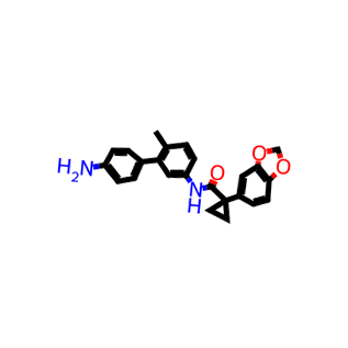 Cc1ccc(NC(=O)C2(c3ccc4c(c3)OCO4)CC2)cc1-c1ccc(N)cc1